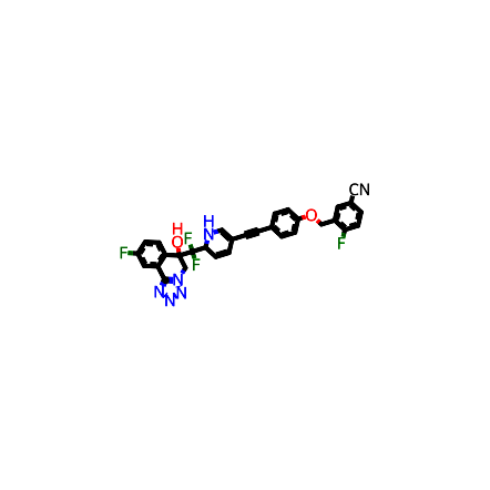 N#Cc1ccc(F)c(COc2ccc(C#CC3=CNC(C(F)(F)C4(O)Cn5nnnc5-c5cc(F)ccc54)C=C3)cc2)c1